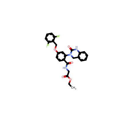 CCOC(=O)CNC(=O)c1ccc(OCc2c(F)cccc2F)cc1N1Cc2ccccc2NC1=O